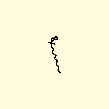 CCCCCCCCCCC(C)(C)OOC